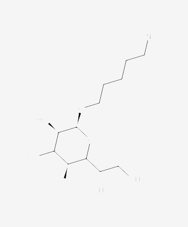 NCCCCCO[C@H]1OC([C@@H](O)CO)[C@@H](O)C(O)[C@H]1O